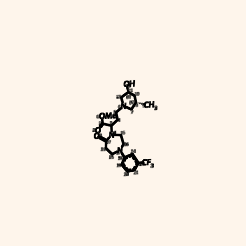 COC(=O)C(CCN1C[C@@H](C)C[C@H](O)C1)N1CCN(c2cccc(C(F)(F)F)c2)CCC1=O